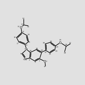 COc1cc2ncn(-c3ccc(OC(C)C)cc3)c2cc1-c1ccc(OC(C)C)cc1